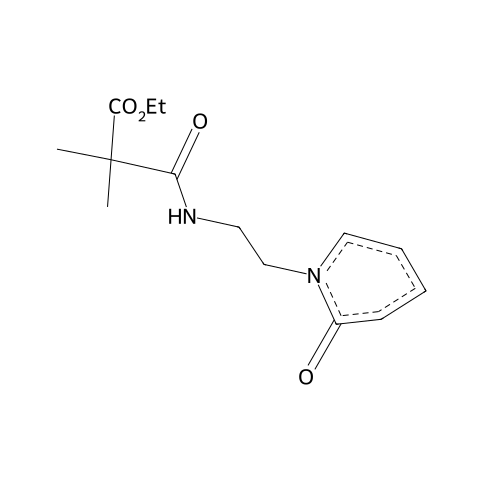 CCOC(=O)C(C)(C)C(=O)NCCn1ccccc1=O